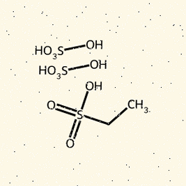 CCS(=O)(=O)O.O=S(=O)(O)O.O=S(=O)(O)O